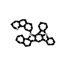 c1ccc2c(c1)ccc1c3cc4c5ccccc5n5c6ccccc6c(c3n(-c3ccc6ccc7cccnc7c6c3)c21)c45